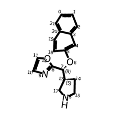 c1ccc2cc(O[C@@H](c3ncco3)[C@H]3CCNC3)ccc2c1